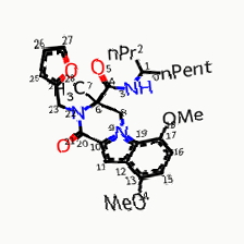 CCCCCC(CCC)NC(=O)C1(C)Cn2c(cc3c(OC)ccc(OC)c32)C(=O)N1Cc1ccco1